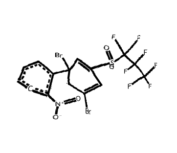 O=[N+]([O-])c1ccccc1C1(Br)[CH]C(Br)=CC(S(=O)(=O)C(F)(F)C(F)(F)C(F)(F)F)=C1